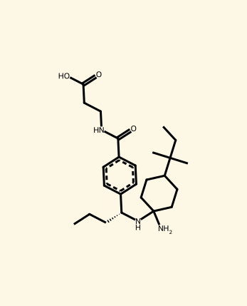 CCC[C@@H](NC1(N)CCC(C(C)(C)CC)CC1)c1ccc(C(=O)NCCC(=O)O)cc1